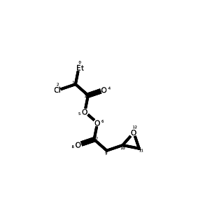 CCC(Cl)C(=O)OOC(=O)CC1CO1